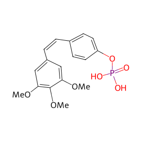 COc1cc(/C=C\c2ccc(OP(=O)(O)O)cc2)cc(OC)c1OC